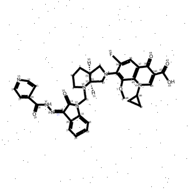 COc1c(N2C[C@@H]3CCCN(CN4C(=O)/C(=N\NC(=O)c5ccncc5)c5ccccc54)[C@@H]3C2)c(F)cc2c(=O)c(C(=O)O)cn(C3CC3)c12